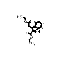 CCOC(=O)Cc1c(C(=O)OCC)[nH]c2ccccc12